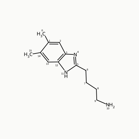 Cc1cc2nc(CCCCN)[nH]c2cc1C